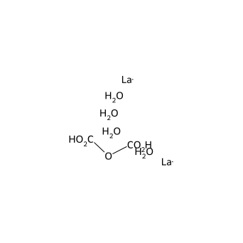 O.O.O.O.O=C(O)OC(=O)O.[La].[La]